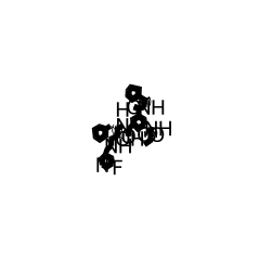 CCS(=O)(=O)Nc1cc(C(=O)N[C@@H](Cc2ccccc2)[C@H](O)CNCc2cncc(F)c2)cc(C(=O)N[C@H](C)c2ccccc2)c1